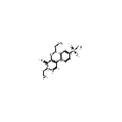 CC(C)CCOc1c(-c2ccc(S(C)(=O)=O)cc2)cnn(CC(F)(F)F)c1=O